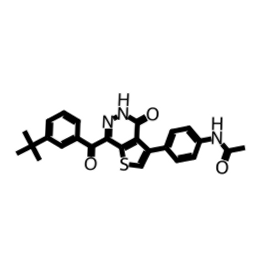 CC(=O)Nc1ccc(-c2csc3c(C(=O)c4cccc(C(C)(C)C)c4)n[nH]c(=O)c23)cc1